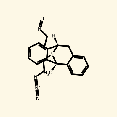 C[C@@]12c3ccccc3C[C@@H](c3ccccc31)[N@+]2(CCN=O)CCN=[N+]=[N-]